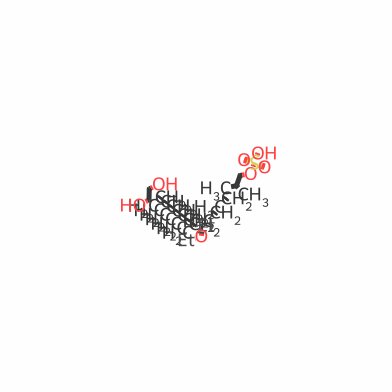 C=C.C=C.C=C.C=C.C=C.C=C.C=C.C=C.C=C.CC(C)COS(=O)(=O)O.CCOCC.OCCO